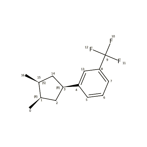 C[C@@H]1C[C@H](c2cccc(C(F)(F)F)c2)C[C@@H]1C